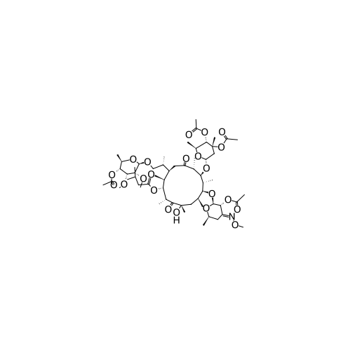 CON=C1C[C@@H](C)O[C@@H](O[C@@H]2[C@@H](C)[C@H](O[C@H]3C[C@@](C)(OC(C)=O)[C@@H](OC(C)=O)[C@H](C)O3)[C@@H](C)C(=O)C[C@H]([C@@H](C)CO[C@@H]3O[C@H](C)[C@@H](OC(C)=O)[C@@H](OC)[C@H]3OC)[C@H](C)[C@@H](OC(=O)CC(C)C)[C@@H](C)C(=O)[C@@](C)(O)C[C@@H]2C)[C@@H]1OC(C)=O